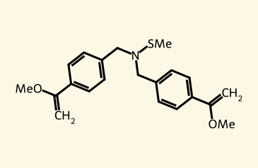 C=C(OC)c1ccc(CN(Cc2ccc(C(=C)OC)cc2)SC)cc1